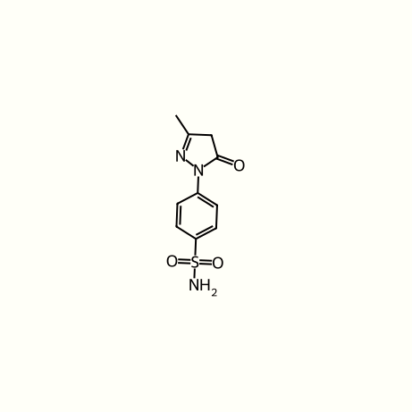 CC1=NN(c2ccc(S(N)(=O)=O)cc2)C(=O)C1